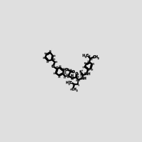 CC(C)C[C@H](NC(=S)Nc1ccc(C(C)C)cc1)C(=O)N[C@@H](Cc1ccc(OCc2ccccc2)cc1)C(=O)O